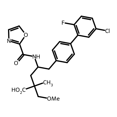 COCC(C)(CC(Cc1ccc(-c2cc(Cl)ccc2F)cc1)NC(=O)c1ncco1)C(=O)O